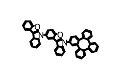 C1=CC2c3c(oc4ccccc34)N(c3ccc4oc5c(c4c3)c3ccccc3n5-c3ccc4c(c3)-c3ccccc3-c3ccccc3-c3ccccc3-4)C2C=C1